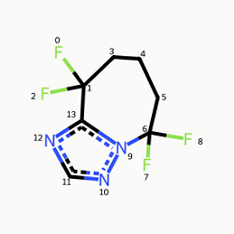 FC1(F)CCCC(F)(F)n2ncnc21